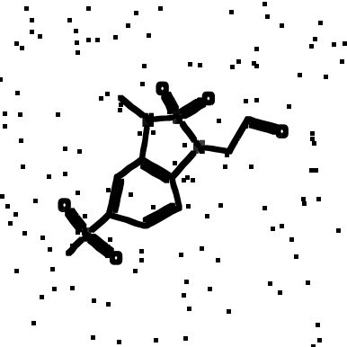 CN1c2cc(S(C)(=O)=O)ccc2N(CC=O)S1(=O)=O